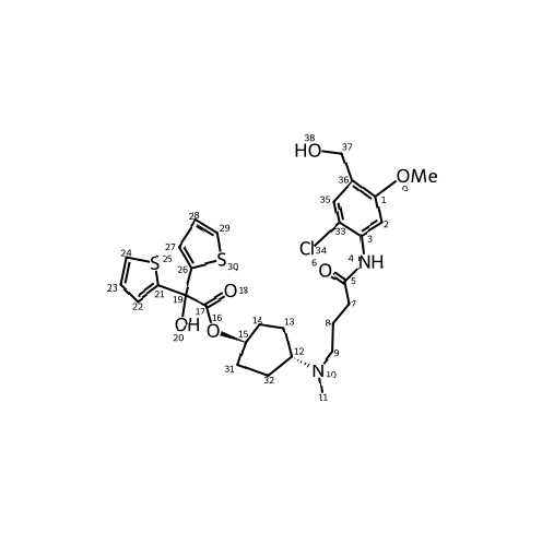 COc1cc(NC(=O)CCCN(C)[C@H]2CC[C@H](OC(=O)C(O)(c3cccs3)c3cccs3)CC2)c(Cl)cc1CO